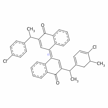 CC1CC(C(C)C2=C/C(=C3/C=C(C(C)c4ccc(Cl)cc4)C(=O)c4ccccc43)c3ccccc3C2=O)=CC=C1Cl